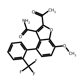 COc1ccc(-c2ccccc2C(F)(F)F)c2c(C(N)=O)c(C(C)=O)oc12